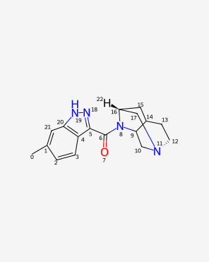 Cc1ccc2c(C(=O)N3C4C[N@@]5CCC4C[C@@H]3C5)n[nH]c2c1